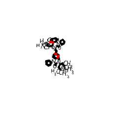 CC1(C)CC(N(CCCCCCN(C(=O)N(c2ccccc2)c2ccccc2)C2CC(C)(C)NC(C)(C)C2)C(=O)N(c2ccccc2)c2ccccc2)CC(C)(C)N1